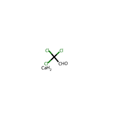 O=CC(Cl)(Cl)Cl.[CaH2]